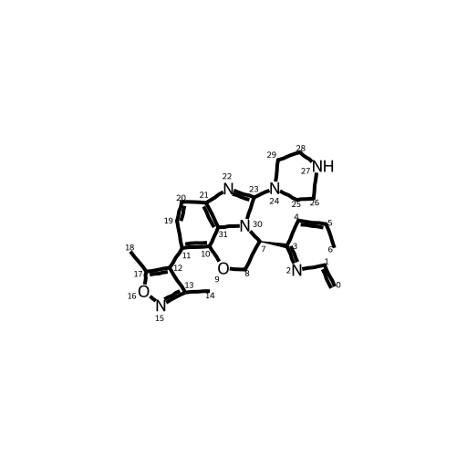 C=C/N=C(\C=C/C)[C@H]1COc2c(-c3c(C)noc3C)ccc3nc(N4CCNCC4)n1c23